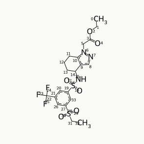 CCOC(=O)Cn1ncc2c1CCCC2NS(=O)(=O)c1cc(C(F)(F)F)cc(S(=O)(=O)CC)c1